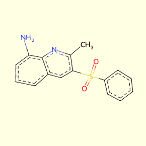 Cc1nc2c(N)cccc2cc1S(=O)(=O)c1ccccc1